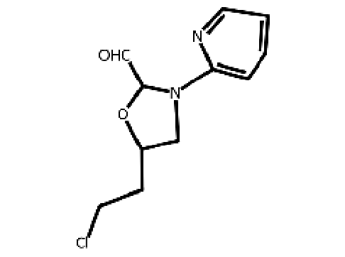 O=CC1OC(CCCl)CN1c1ccccn1